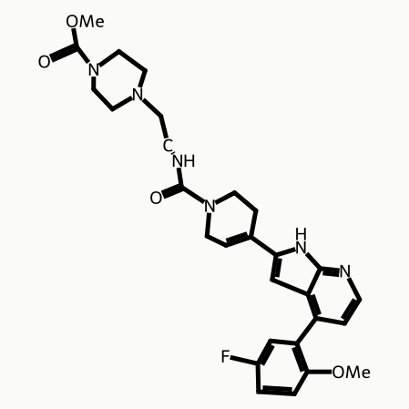 COC(=O)N1CCN(CCNC(=O)N2CC=C(c3cc4c(-c5cc(F)ccc5OC)ccnc4[nH]3)CC2)CC1